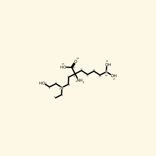 CCN(CCO)CCC(N)(CCCCB(O)O)C(=O)O